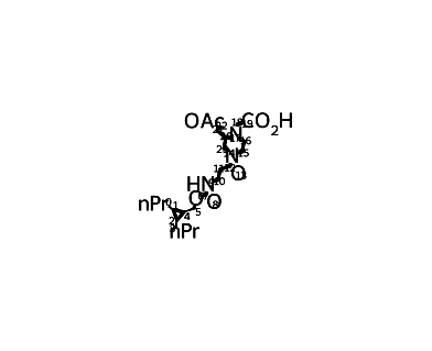 CCC[C@@H]1[C@H](CCC)[C@@H]1COC(=O)NCCC(=O)N1CCN(CC(=O)O)C(COC(C)=O)C1